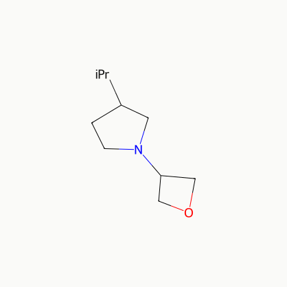 CC(C)C1CCN(C2COC2)C1